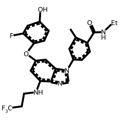 CCNC(=O)c1ccc(-n2cnc3c(NCCC(F)(F)F)cc(Oc4ccc(O)cc4F)cc32)cc1C